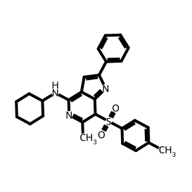 CC1=NC(NC2CCCCC2)=C2C=C(c3ccccc3)N=C2C1S(=O)(=O)c1ccc(C)cc1